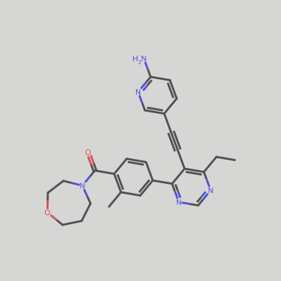 CCc1ncnc(-c2ccc(C(=O)N3CCCOCC3)c(C)c2)c1C#Cc1ccc(N)nc1